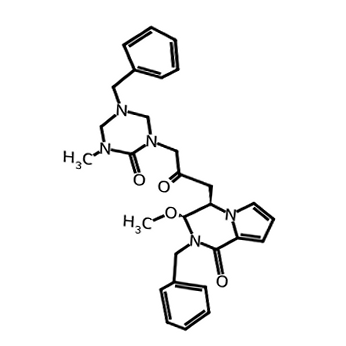 CO[C@@H]1[C@@H](CC(=O)CN2CN(Cc3ccccc3)CN(C)C2=O)n2cccc2C(=O)N1Cc1ccccc1